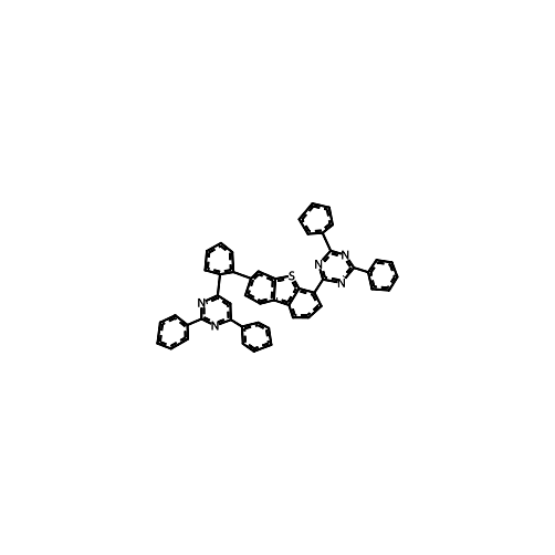 c1ccc(-c2cc(-c3ccccc3-c3ccc4c(c3)sc3c(-c5nc(-c6ccccc6)nc(-c6ccccc6)n5)cccc34)nc(-c3ccccc3)n2)cc1